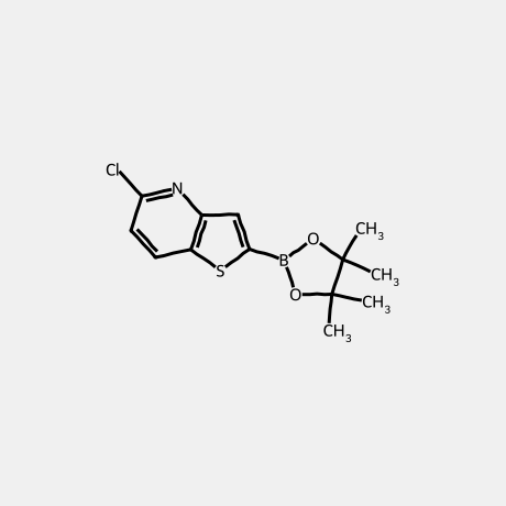 CC1(C)OB(c2cc3nc(Cl)ccc3s2)OC1(C)C